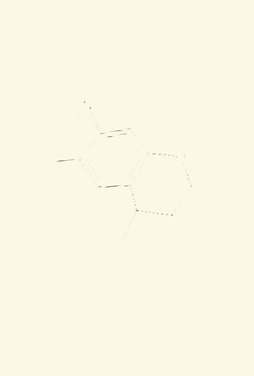 O=[N+]([O-])c1cc2c(cc1F)C(O)CCO2